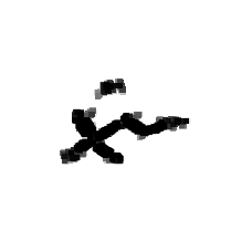 CCCCSS(=O)(=O)O.[KH]